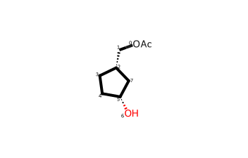 CC(=O)OC[C@H]1CC[C@@H](O)C1